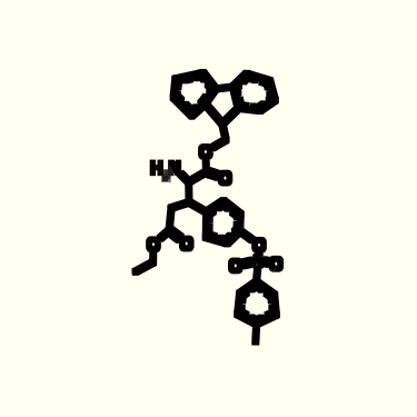 CCOC(=O)CC(c1ccc(OS(=O)(=O)c2ccc(C)cc2)cc1)C(N)C(=O)OCC1c2ccccc2-c2ccccc21